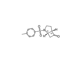 Cc1ccc(S(=O)(=O)N2CC[C@@H]3C(=O)C[C@@H]32)cc1